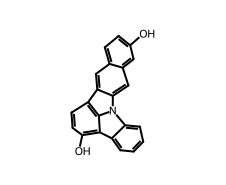 Oc1ccc2cc3c4ccc(O)c5c6ccccc6n(c3cc2c1)c45